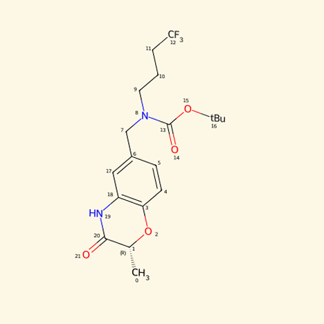 C[C@H]1Oc2ccc(CN(CCCC(F)(F)F)C(=O)OC(C)(C)C)cc2NC1=O